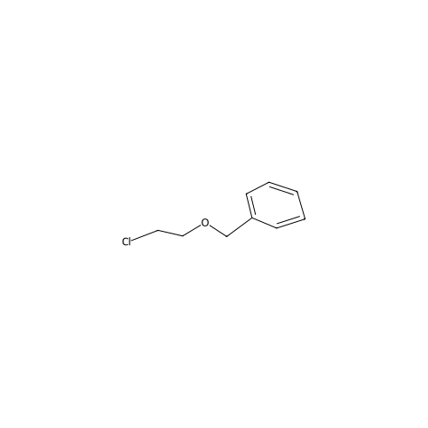 ClCCOCc1ccccc1